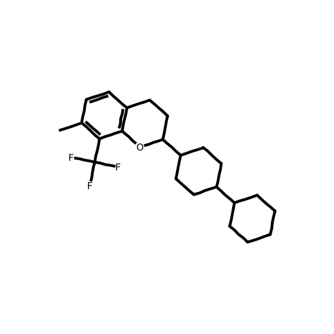 Cc1ccc2c(c1C(F)(F)F)OC(C1CCC(C3CCCCC3)CC1)CC2